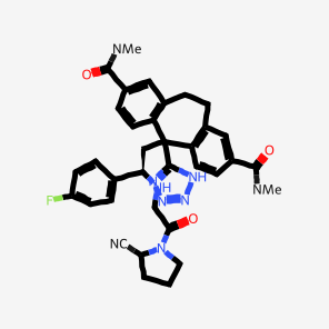 CNC(=O)c1ccc2c(c1)CCc1cc(C(=O)NC)ccc1C2(C[C@@H](NCC(=O)N1CCCC1C#N)c1ccc(F)cc1)c1nnn[nH]1